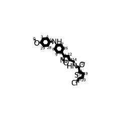 COc1ccc(Nc2ccc(-c3cc(CNC(=O)c4ccc(Cl)s4)on3)cc2)cc1